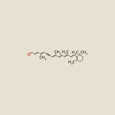 CC1=C(/C=C/C(C)=C/C=C/C(C)=C/C#C/C=C(C)/C=C/C=O)C(C)(C)CCC1